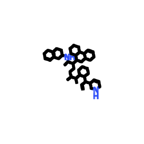 C=CC(C1C=CCNC1)C1CCCCC1C(C)C(C)CCC(C(C)NC1CCC2=C(C=CCC2)C1)C1CC2CCC=CC2C2CCCCC21